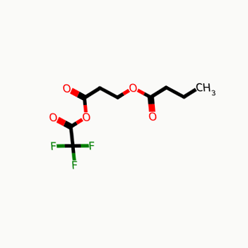 CCCC(=O)OCCC(=O)OC(=O)C(F)(F)F